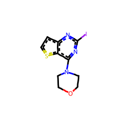 Ic1nc(N2CCOCC2)c2sccc2n1